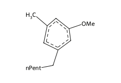 CCCCCCc1cc(C)cc(OC)c1